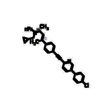 CCCN(CC1CC1)[C@H](C)/C=C(\C)c1ccc(C#Cc2ccc(-c3ccc(Cl)cc3)cn2)cc1